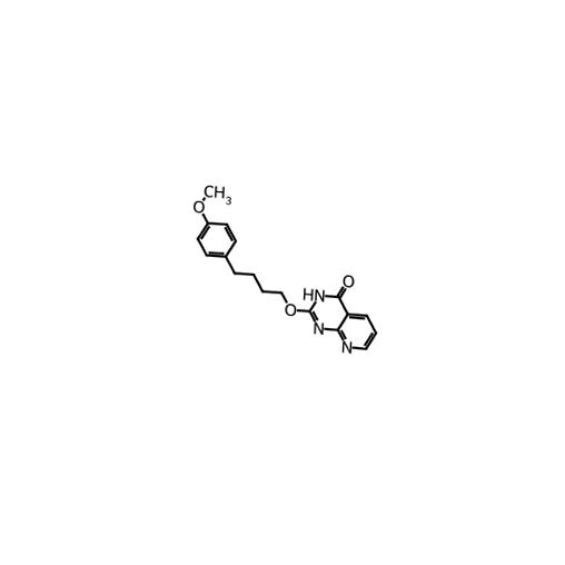 COc1ccc(CCCCOc2nc3ncccc3c(=O)[nH]2)cc1